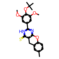 COc1cc(-c2nc3c(c(=S)[nH]2)Cc2cc(C)ccc2O3)cc(OC)c1OC(C)(C)C